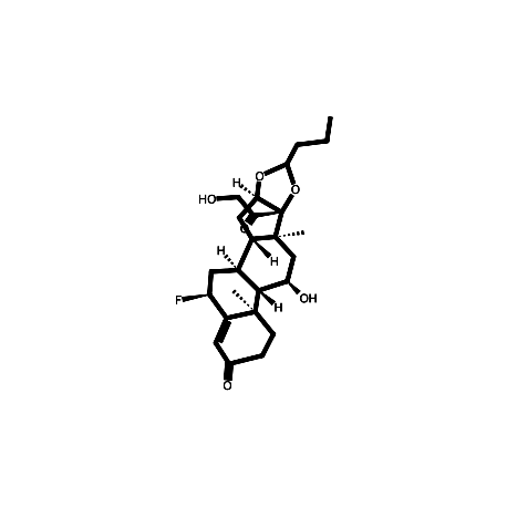 CCCC1O[C@@H]2C[C@H]3[C@@H]4C[C@H](F)C5=CC(=O)CC[C@]5(C)[C@H]4[C@H](O)C[C@]3(C)[C@@]2(C(=O)CO)O1